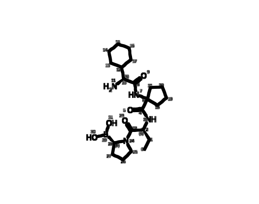 CC[C@H](NC(=O)C1(NC(=O)[C@@H](N)C2CCCCC2)CCCC1)C(=O)N1CCC[C@H]1B(O)O